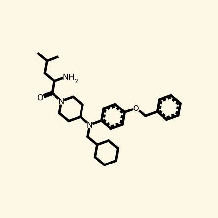 CC(C)CC(N)C(=O)N1CCC(N(CC2CCCCC2)c2ccc(OCc3ccccc3)cc2)CC1